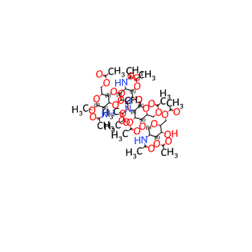 CO[C@H]1OC(COC(C)=O)[C@H](O[C@@H]2OC(COC(C)=O)C(O[C@H]3OC(COC(C)=O)[C@H](O[C@@H]4OC(COC(C)=O)C(O)[C@H](OC(C)=O)C4NC(C)=O)C(OC(C)=O)[C@H]3NC(C)=O)[C@H](OC(C)=O)C2NC(C)=O)C(OC(C)=O)[C@H]1NC(C)=O